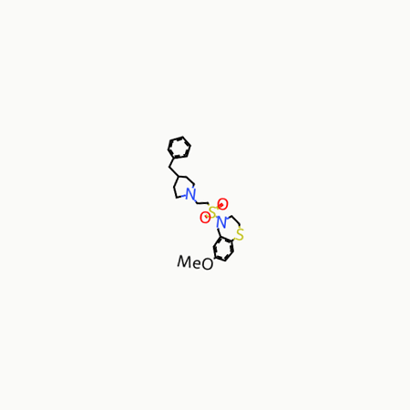 COc1ccc2c(c1)CN(S(=O)(=O)CCN1CCC(Cc3ccccc3)CC1)CCS2